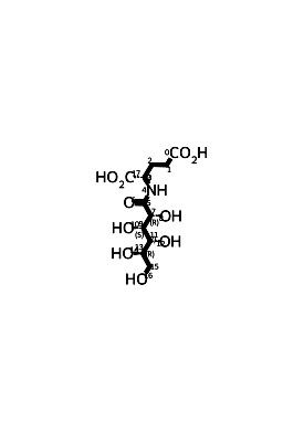 O=C(O)CC[C@H](NC(=O)[C@H](O)[C@@H](O)[C@H](O)[C@H](O)CO)C(=O)O